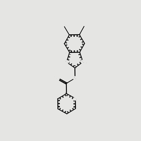 Cc1cc2nc(NC(=O)c3ccccn3)[nH]c2cc1C